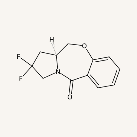 O=C1c2ccccc2OC[C@@H]2CC(F)(F)CN12